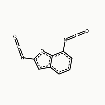 O=C=Nc1cc2cccc(N=C=O)c2o1